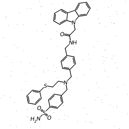 NS(=O)(=O)c1ccc(CN(CCSc2ccccc2)Cc2ccc(CNC(=O)Cn3c4ccccc4c4ccccc43)cc2)cc1